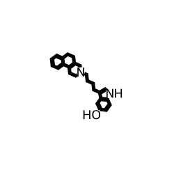 Oc1ccc2[nH]cc(CCCCN3CCC4=C(CCc5ccccc54)C3)c2c1